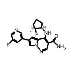 C[C@]1(F)CCC[C@H]1Nc1c(C(N)=O)cnn2cc(-c3cncc(F)c3)cc12